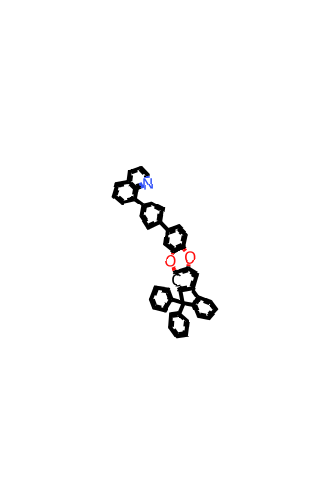 c1ccc(C2(c3ccccc3)c3ccccc3-c3cc4c(cc32)Oc2cc(-c3ccc(-c5cccc6cccnc56)cc3)ccc2O4)cc1